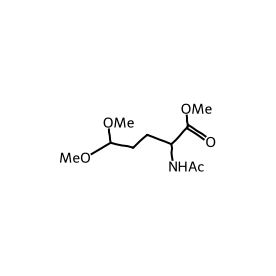 COC(=O)C(CCC(OC)OC)NC(C)=O